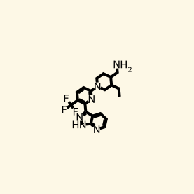 CCC1CN(c2ccc(C(F)(F)F)c(-c3n[nH]c4ncccc34)n2)CCC1CN